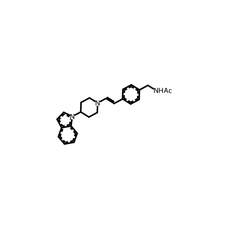 CC(=O)NCc1ccc(C=CN2CCC(n3ccc4ccccc43)CC2)cc1